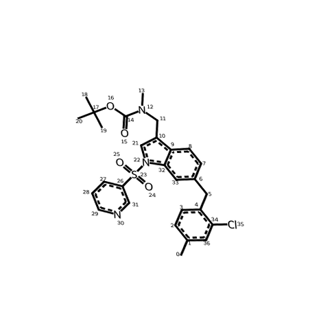 Cc1ccc(Cc2ccc3c(CN(C)C(=O)OC(C)(C)C)cn(S(=O)(=O)c4cccnc4)c3c2)c(Cl)c1